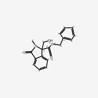 CN1C(=O)c2ccccc2C1(CO)C(=O)OCc1ccccc1